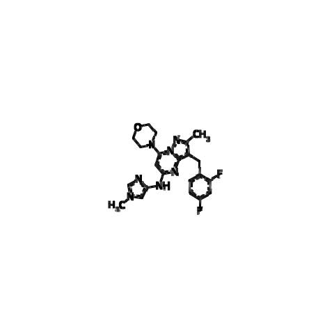 Cc1nn2c(N3CCOCC3)cc(Nc3cn(C)cn3)nc2c1Cc1ccc(F)cc1F